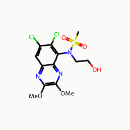 COc1nc2cc(Cl)c(Cl)c(N(CCO)S(C)(=O)=O)c2nc1OC